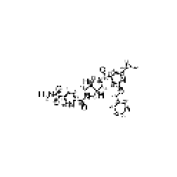 NS(=O)(=O)c1ccc(C(=O)N2C[C@@H]3CN(C(=O)c4cc(OCC5CCCOC5)nc(C5CC5)c4)C[C@H]3C2)nc1